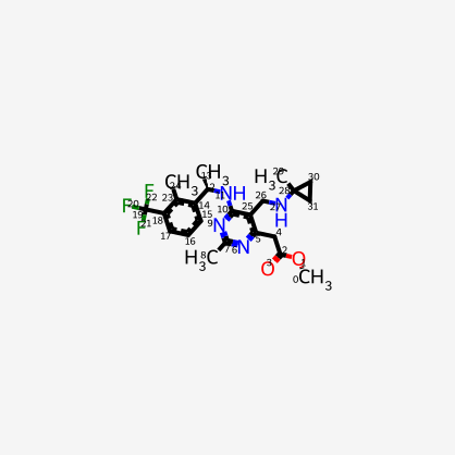 COC(=O)Cc1nc(C)nc(N[C@H](C)c2cccc(C(F)(F)F)c2C)c1CNC1(C)CC1